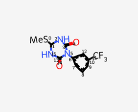 CSC1NC(=O)N(c2cccc(C(F)(F)F)c2)C(=O)N1